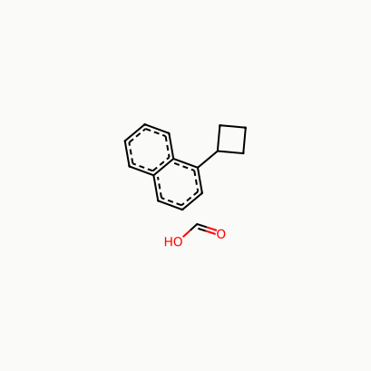 O=CO.c1ccc2c(C3CCC3)cccc2c1